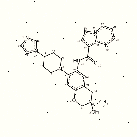 C[C@]1(O)COc2cc(N3CCC(n4ccnc4)CC3)c(NC(=O)c3cnn4cccnc34)cc2C1